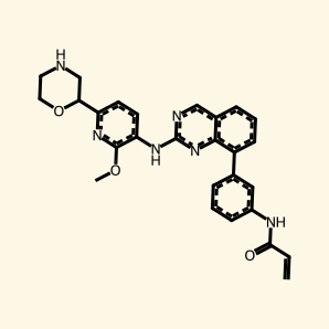 C=CC(=O)Nc1cccc(-c2cccc3cnc(Nc4ccc(C5CNCCO5)nc4OC)nc23)c1